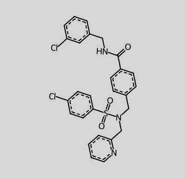 O=C(NCc1cccc(Cl)c1)c1ccc(CN(Cc2ccccn2)S(=O)(=O)c2ccc(Cl)cc2)cc1